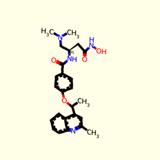 Cc1cc(C(C)Oc2ccc(C(=O)N[C@H](CC(=O)NO)CN(C)C)cc2)c2ccccc2n1